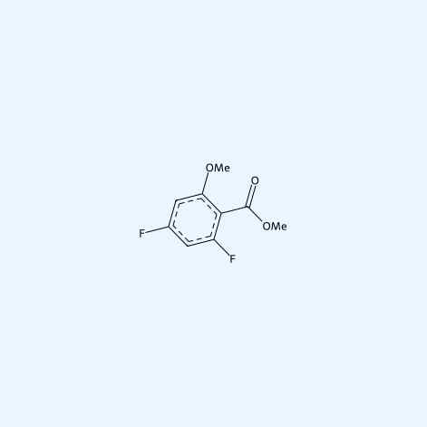 COC(=O)c1c(F)cc(F)cc1OC